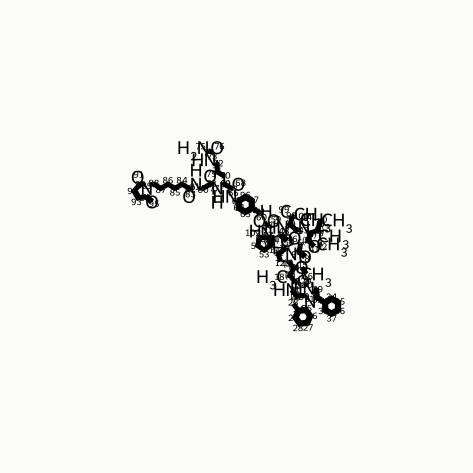 CC[C@H](C)[C@@H]([C@@H](CC(=O)N1CCC[C@H]1[C@H](OC)[C@@H](C)C(=O)N[C@@H](Cc1ccccc1)c1nc(-c2ccccc2)c[nH]1)OC)N(C)C(=O)[C@@H](NC(=O)[C@@H]1[C@H]2CC[C@H](C2)N1C(=O)OCc1ccc(NC(=O)[C@H](CCCNC(N)=O)NC(=O)CNC(=O)CCCCCN2C(=O)C=CC2=O)cc1)C(C)C